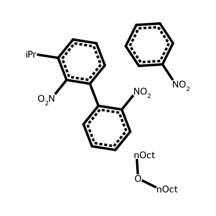 CC(C)c1cccc(-c2ccccc2[N+](=O)[O-])c1[N+](=O)[O-].CCCCCCCCOCCCCCCCC.O=[N+]([O-])c1ccccc1